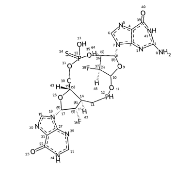 Nc1nc2c(ncn2[C@@H]2OC3OPC[C@H]4[C@H](F)[C@H](n5cnc6c(=O)[nH]cnc65)O[C@@H]4COP(O)(=S)O[C@@H]2[C@@H]3F)c(=O)[nH]1